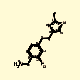 Cc1nc(CCc2ccc(CN)c(F)c2)cs1